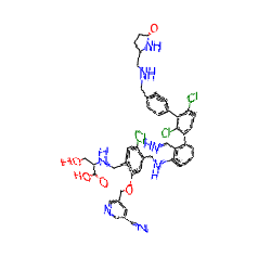 N#Cc1cncc(COc2cc(CNc3cccc(-c4ccc(Cl)c(-c5ccc(CNCC6CCC(=O)N6)cc5)c4Cl)c3C=N)c(Cl)cc2CNC(CO)C(=O)O)c1